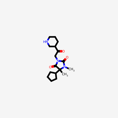 CN1C(=O)N(CC(=O)C2CCCNC2)C(=O)C1(C)C1CCCC1